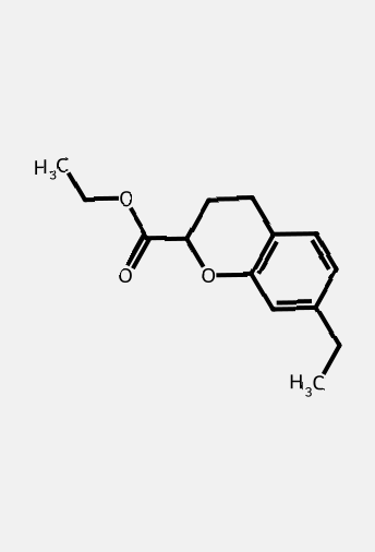 CCOC(=O)C1CCc2ccc(CC)cc2O1